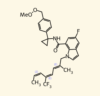 C\C=C/C(=C\C=C(/C)Cn1ccc2cc(F)cc(C(=O)NC3(c4ccc(COOC)cc4)CC3)c21)C(F)(F)F